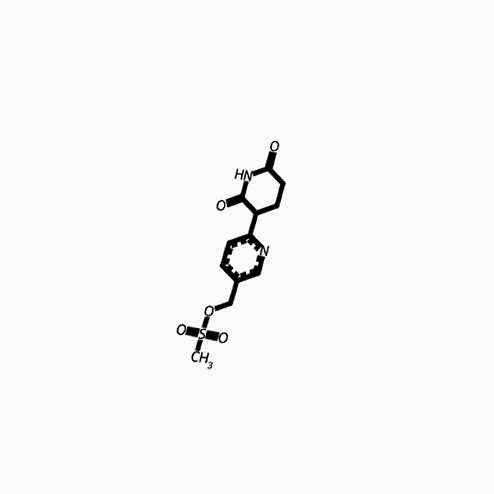 CS(=O)(=O)OCc1ccc(C2CCC(=O)NC2=O)nc1